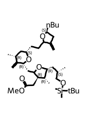 C=C1C[C@H](CCCC)OC1CC[C@H]1C[C@@H](C)C(=C)[C@@H](CC2O[C@H](C[C@H](C)CO[Si](C)(C)C(C)(C)C)[C@H](C)[C@H]2CC(=O)OC)O1